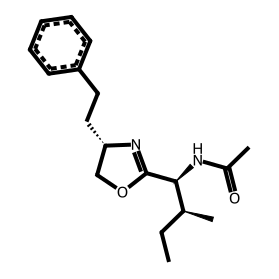 CC[C@H](C)[C@H](NC(C)=O)C1=N[C@@H](CCc2ccccc2)CO1